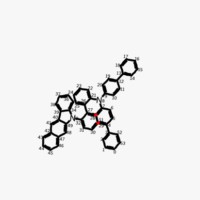 c1ccc(-c2ccc(N(c3ccc(-c4ccccc4)cc3)c3ccccc3-c3ccccc3-n3c4ccccc4c4cc5ccccc5cc43)cc2)cc1